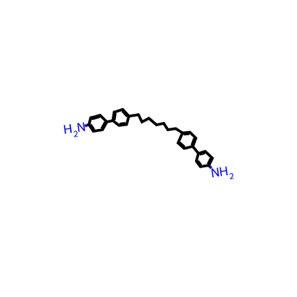 Nc1ccc(-c2ccc(CCCCCCCc3ccc(-c4ccc(N)cc4)cc3)cc2)cc1